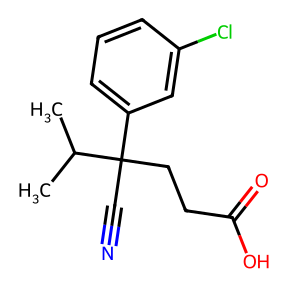 CC(C)C(C#N)(CCC(=O)O)c1cccc(Cl)c1